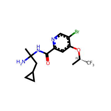 C[C@H](Oc1cc(C(=O)NC(C)(N)CC2CC2)ncc1Br)C(F)(F)F